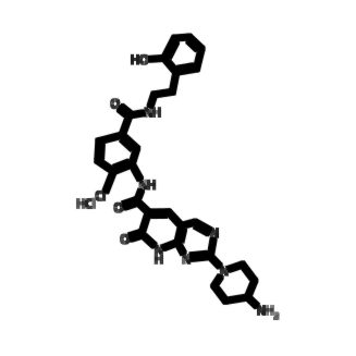 Cl.NC1CCN(c2ncc3cc(C(=O)Nc4cc(C(=O)NCCc5ccccc5O)ccc4Cl)c(=O)[nH]c3n2)CC1